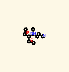 c1ccc(-c2nc(-c3cc(-c4cccc5c4oc4ccccc45)cc(-c4cccc5c4oc4ccccc45)c3)cc(-c3cccc4c(-c5cccnc5)cccc34)n2)cc1